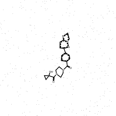 O=C(c1ccc(-c2ccc3nccn3n2)cc1)N1CCN(C(=O)C2(O)CC2)CC1